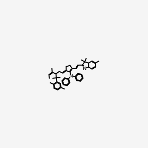 C/C=C(/C)C(C/C=C1\CCC(/C=C/C2=NC3C=CC(C)=CC3C2(C)C)=C1N(c1ccccc1)c1ccccc1)C(C)(C)c1cc(C)ccc1C